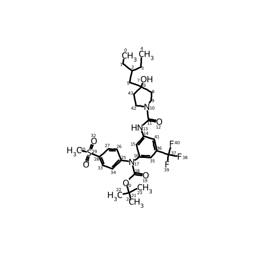 CCC(CC)CC1(O)CCN(C(=O)Nc2cc(N(C(=O)OC(C)(C)C)c3ccc(S(C)(=O)=O)cc3)cc(C(F)(F)F)c2)CC1